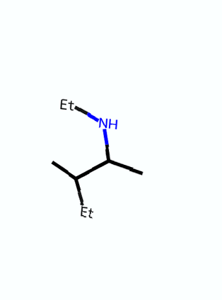 CCNC(C)C(C)CC